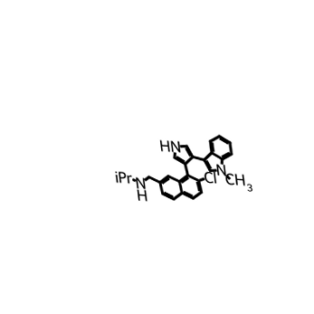 CC(C)NCc1ccc2ccc(Cl)c(-c3c[nH]cc3-c3cn(C)c4ccccc34)c2c1